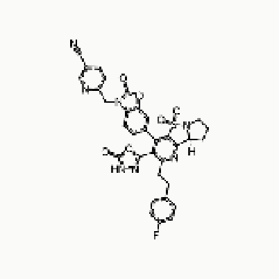 N#Cc1ccc(Cn2c(=O)oc3cc(-c4c(-c5n[nH]c(=O)o5)c(CCc5ccc(F)cc5)nc5c4S(=O)(=O)N4CCC[C@@H]54)ccc32)nc1